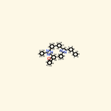 c1ccc(-c2cccc(-c3cc(-c4cccc(-c5cccc(-c6nc(-c7ccccc7)nc(-c7cccc8c7oc7ccccc78)n6)c5)c4)nc(-c4ccccc4)n3)c2)cc1